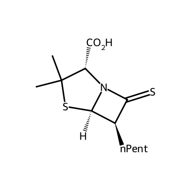 CCCCC[C@@H]1C(=S)N2[C@@H]1SC(C)(C)[C@@H]2C(=O)O